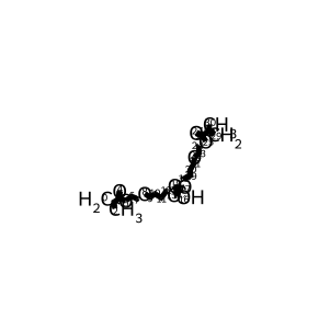 C=C(C)C(=O)OCCOCCCCOP(=O)(O)OCCCCOCCOC(=O)C(=C)C